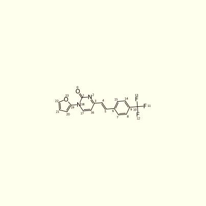 O=c1nc(C=Cc2ccc(C(F)(F)F)cc2)ccn1-c1ccco1